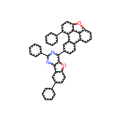 c1ccc(-c2ccc3oc4c(-c5ccc6c(c5)c5c(-c7ccccc7)ccc7oc8cccc6c8c75)nc(-c5ccccc5)nc4c3c2)cc1